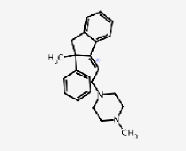 CN1CCN(C/C=C2/c3ccccc3CC2(C)c2ccccc2)CC1